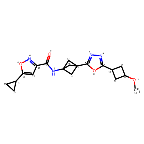 O=C(NC12CC(c3nnc(C4CC(OC(F)(F)F)C4)o3)(C1)C2)c1cc(C2CC2)on1